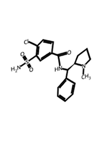 CN1CCC[C@@H]1C(NC(=O)c1ccc(Cl)c(S(N)(=O)=O)c1)c1ccccc1